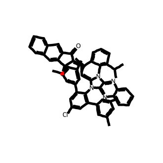 Cc1cc(C)cc(-c2cc(Cl)cc(-c3cc(C)cc(C)c3)c2N2/C(=C/C=C3C(=O)c4cc5ccccc5cc4C3=O)N(c3c(C(C)C)cccc3C(C)C)c3nc4ccccc4nc32)c1